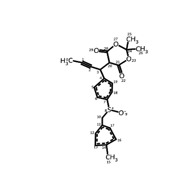 CC#CC(c1ccc([S+]([O-])Cc2ccc(C)cc2)cc1)C1C(=O)OC(C)(C)OC1=O